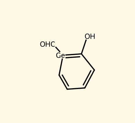 O=[CH][Ge]1=[C](O)C=CC=[CH]1